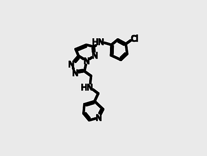 Clc1cccc(Nc2ccc3nnc(CNCc4cccnc4)n3n2)c1